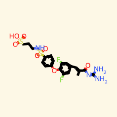 C/C(=C\c1cc(F)c(Oc2ccc(S(=O)(=O)NCCCS(=O)(=O)O)cc2)c(F)c1)C(=O)N=C(N)N